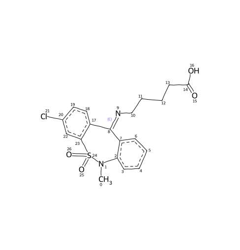 CN1c2ccccc2/C(=N\CCCCC(=O)O)c2ccc(Cl)cc2S1(=O)=O